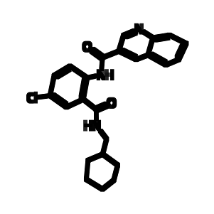 O=C(Nc1ccc(Cl)cc1C(=O)NCC1CCCCC1)c1cnc2ccccc2c1